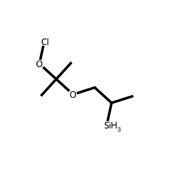 CC([SiH3])COC(C)(C)OCl